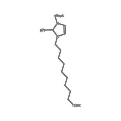 CCCCCCCCCCCCCCCCCCCN1C=CN(CCCCCCC)C1CCC